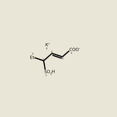 CCC(/C=C/C(=O)[O-])S(=O)(=O)O.[K+]